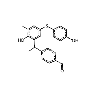 Cc1cc(Sc2ccc(O)cc2)cc(C(C)c2ccc(C=O)cc2)c1O